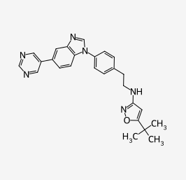 CC(C)(C)c1cc(NCCc2ccc(-n3cnc4cc(-c5cncnc5)ccc43)cc2)no1